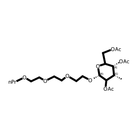 CCCOCCOCCOCCO[C@@H]1OC(COC(C)=O)[C@H](OC(C)=O)[C@H](C)C1OC(C)=O